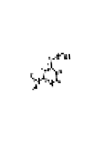 CN(C)c1cc(CC(C)(C)C)ccn1